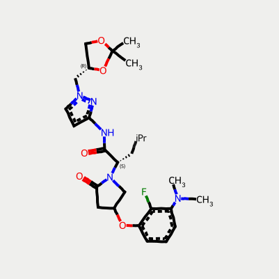 CC(C)C[C@@H](C(=O)Nc1ccn(C[C@@H]2COC(C)(C)O2)n1)N1CC(Oc2cccc(N(C)C)c2F)CC1=O